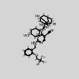 N#Cc1cnc(NCc2ccccc2OCC(F)(F)F)nc1NC[C@]12CC3C[C@H](C1)[C@@H](NC[C@H]1CC[C@@H](O)CC1)[C@@H](C3)C2